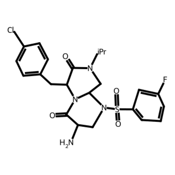 CC(C)N1CC2N(C(=O)C(N)CN2S(=O)(=O)c2cccc(F)c2)C(Cc2ccc(Cl)cc2)C1=O